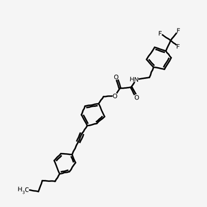 CCCCc1ccc(C#Cc2ccc(COC(=O)C(=O)NCc3ccc(C(F)(F)F)cc3)cc2)cc1